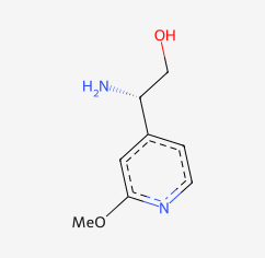 COc1cc([C@H](N)CO)ccn1